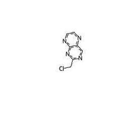 ClCc1ncc2nccnc2n1